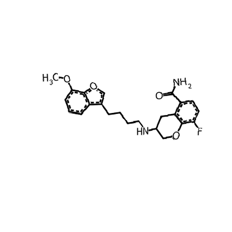 COc1cccc2c(CCCCNC3COc4c(F)ccc(C(N)=O)c4C3)coc12